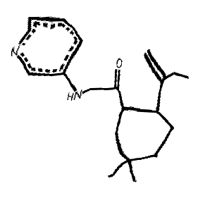 C=C(C)C1CCC(C)(C)CC1C(=O)Nc1cccnc1